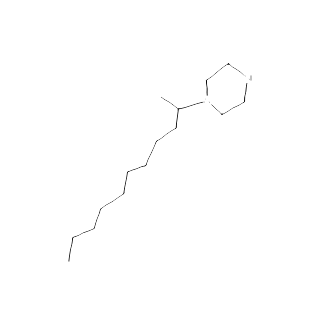 CCCCCCCCCC(C)N1CCNCC1